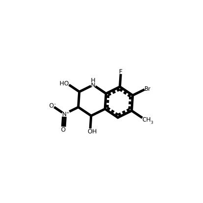 Cc1cc2c(c(F)c1Br)NC(O)C([N+](=O)[O-])C2O